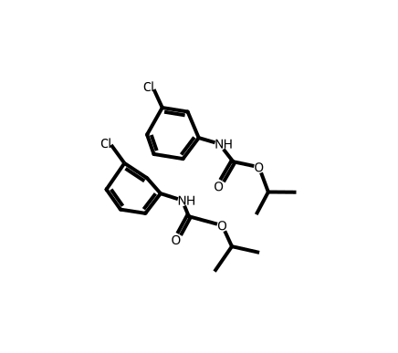 CC(C)OC(=O)Nc1cccc(Cl)c1.CC(C)OC(=O)Nc1cccc(Cl)c1